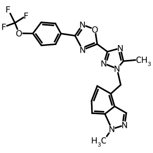 Cc1nc(-c2nc(-c3ccc(OC(F)(F)F)cc3)no2)nn1Cc1cccc2c1cnn2C